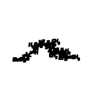 C=C(NCCCCc1ccc(OCC(C)C)cc1)c1ccc(-c2cc3c(C)cc4c(cc(C)c5cc(-c6ccc(C(C)(CC)CC#CC)s6)sc54)c3s2)s1